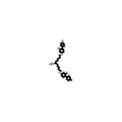 CCCC(CCCCCOc1ccc(-c2ccc(F)cc2)c(F)c1)CCCCCOc1ccc(-c2ccc(F)cc2)c(F)c1